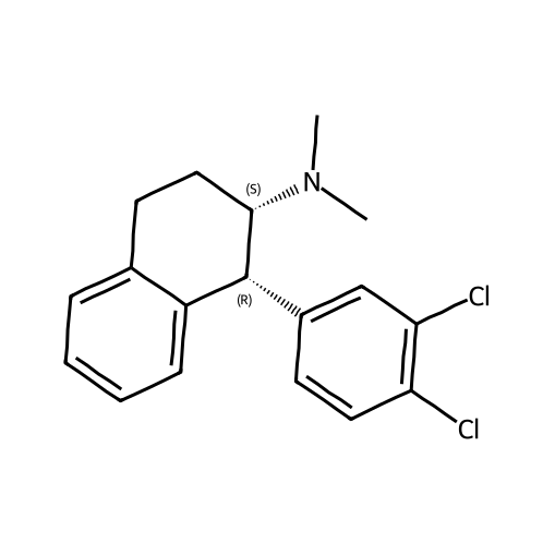 CN(C)[C@H]1CCc2ccccc2[C@H]1c1ccc(Cl)c(Cl)c1